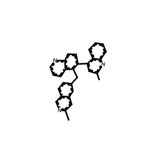 Cc1cc2cc(Cc3c(-c4cc(C)nc5ccccc45)ccc4ncccc34)ccc2cn1